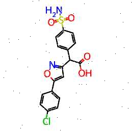 NS(=O)(=O)c1ccc(C(C(=O)O)c2cc(-c3ccc(Cl)cc3)on2)cc1